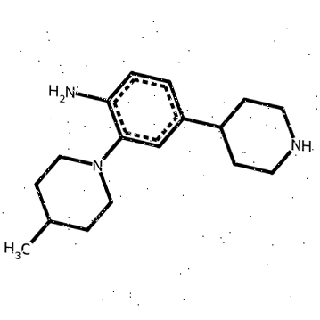 CC1CCN(c2cc(C3CCNCC3)ccc2N)CC1